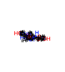 CC(C)C[C@@H](/C=C/[C@H](Cc1ccccc1)C(=O)N1CCC[C@H]1C(=O)N[C@H](C(=O)N[C@@H](C)C(=O)NC1CC(C)(C)N(O)C(C)(C)C1)C(C)C)NC(=O)OC1CC(C)(C)N(O)C(C)(C)C1